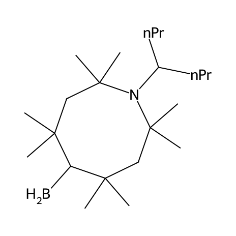 BC1C(C)(C)CC(C)(C)N(C(CCC)CCC)C(C)(C)CC1(C)C